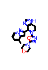 Cc1cccn2nc(C3c4nc[nH]c4CCN3c3nnc(N4CCOCC4)o3)cc12